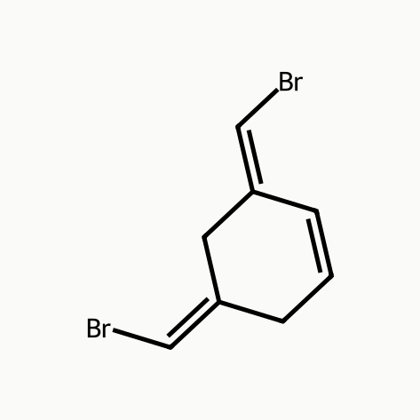 BrC=C1C=CCC(=CBr)C1